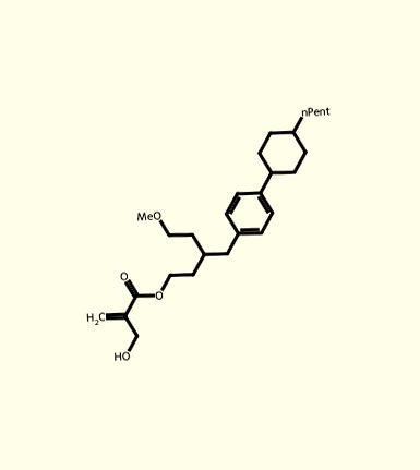 C=C(CO)C(=O)OCCC(CCOC)Cc1ccc(C2CCC(CCCCC)CC2)cc1